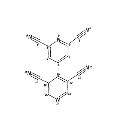 N#Cc1cccc(C#N)n1.N#Cc1cncc(C#N)c1